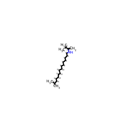 C=C(NCCCCCCCCCCCCCCC(C)C)C(C)C